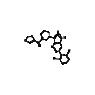 C=C1[C@H]2CC[C@]1([C@H]1CCCN(C(=O)c3cocn3)C1)c1nnc(-c3c(F)cccc3F)cc12